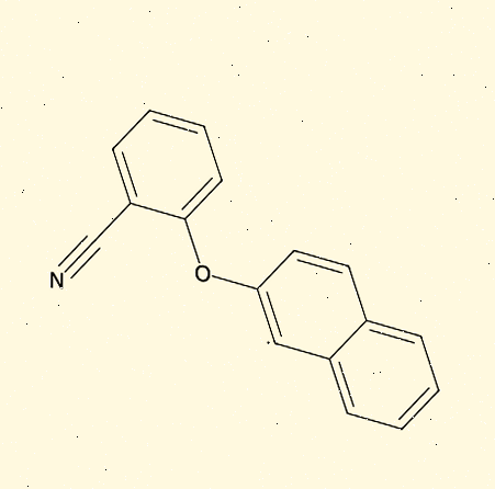 N#Cc1ccccc1Oc1[c]c2ccccc2cc1